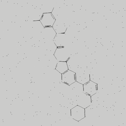 COc1cc(F)cc([C@@H](CO)NC(=O)[C@@H](C)N2Cc3ncc(-c4nc(NC5CCOCC5)ncc4Cl)cc3C2=O)c1